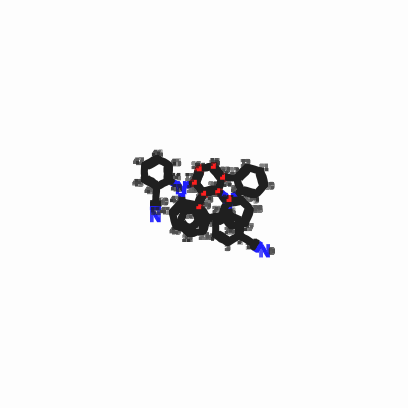 N#Cc1cccc(-n2c3ccccc3c3cccc(-c4ccccc4-c4ccccc4-c4cccc5c4c4ccccc4n5-c4ccccc4C#N)c32)c1